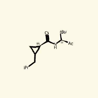 CC(=O)[C@@H](NC(=O)[C@@H]1CC1CC(C)C)C(C)(C)C